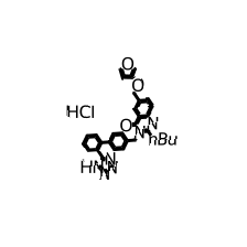 CCCCc1nc2ccc(COc3ccoc3)cc2c(=O)n1Cc1ccc(-c2ccccc2-c2nnn[nH]2)cc1.Cl